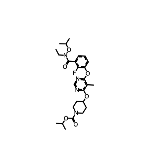 CCN(OC(C)C)C(=O)c1cccc(Oc2ncnc(OC3CCN(C(=O)OC(C)C)CC3)c2C)c1F